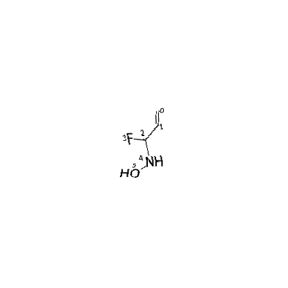 C=CC(F)NO